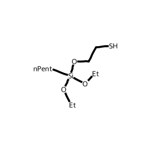 CCCCC[Si](OCC)(OCC)OCCS